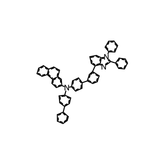 c1ccc(-c2ccc(N(c3ccc(-c4cccc(-c5cccc6c5nc(-c5ccccc5)n6-c5ccccc5)c4)cc3)c3ccc4c(ccc5ccccc54)c3)cc2)cc1